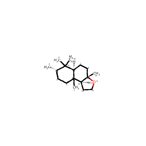 C[C@H]1CCC2(C)[C@H](CC[C@]3(C)OCC[C@@H]23)C1(C)C